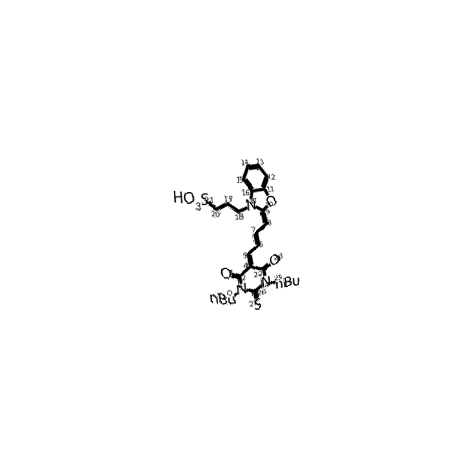 CCCCN1C(=O)C(=CC=CC=C2Oc3ccccc3N2CCCS(=O)(=O)O)C(=O)N(CCCC)C1=S